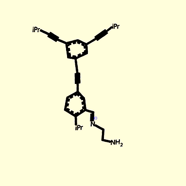 CC(C)C#Cc1cc(C#Cc2ccc(C(C)C)c(/C=N/CCN)c2)cc(C#CC(C)C)c1